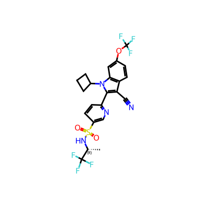 C[C@@H](NS(=O)(=O)c1ccc(-c2c(C#N)c3ccc(OC(F)(F)F)cc3n2C2CCC2)nc1)C(F)(F)F